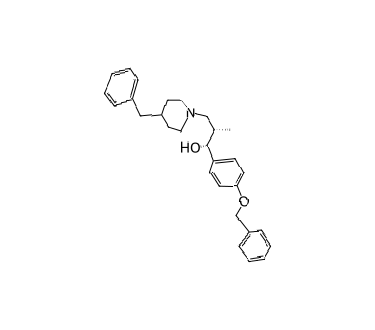 C[C@@H](CN1CCC(Cc2ccccc2)CC1)[C@@H](O)c1ccc(OCc2ccccc2)cc1